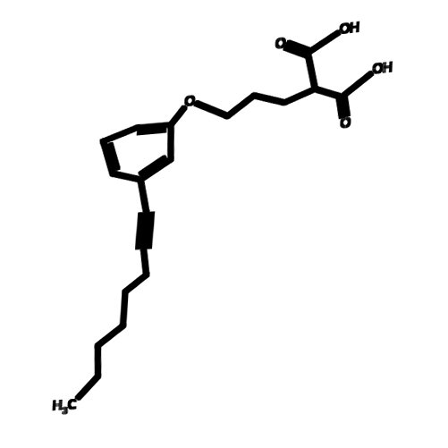 CCCCCCC#Cc1cccc(OCCCC(C(=O)O)C(=O)O)c1